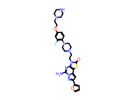 Nc1nc2c(sc(=O)n2CCN2CCN(c3ccc(OCCN4CCNCC4)cc3F)CC2)c2cc(-c3ccco3)nn12